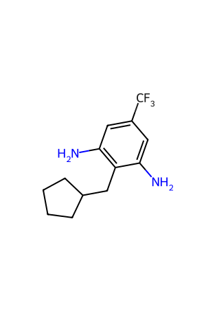 Nc1cc(C(F)(F)F)cc(N)c1CC1CCCC1